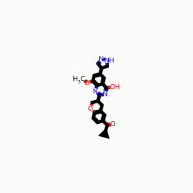 COc1cc(C2C=NNC2)cc2c(O)nc(C3COc4ccc(C(=O)C5CC5)cc4C3)nc12